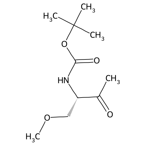 COC[C@H](NC(=O)OC(C)(C)C)C(C)=O